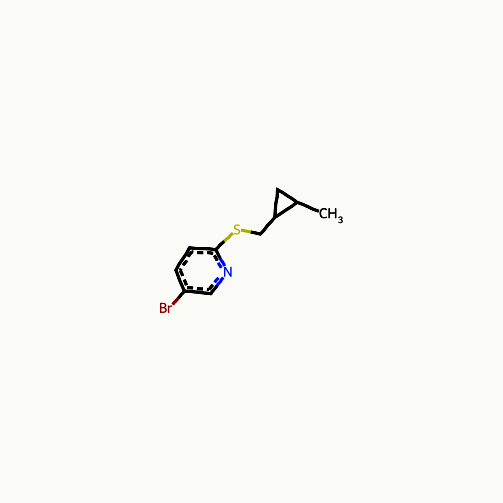 CC1CC1CSc1ccc(Br)cn1